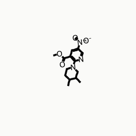 COC(=O)c1cc([N+](=O)[O-])cnc1N1CCC(C)C(C)C1